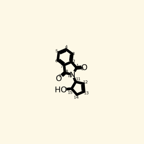 O=C1c2ccccc2C(=O)N1C1C=CCC1O